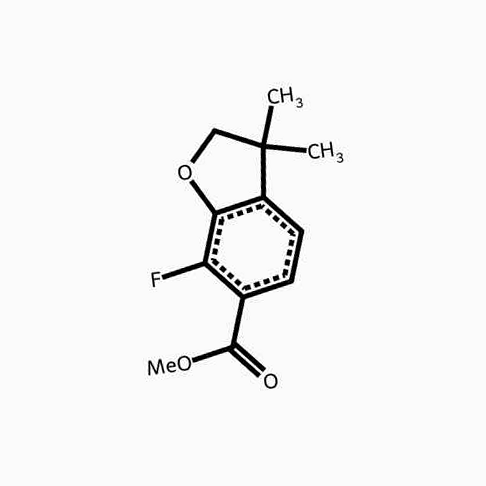 COC(=O)c1ccc2c(c1F)OCC2(C)C